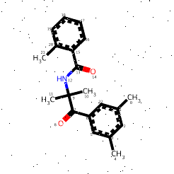 Cc1cc(C)cc(C(=O)C(C)(C)NC(=O)c2ccccc2C)c1